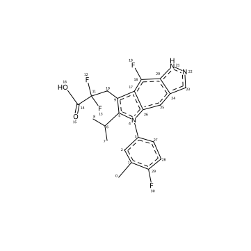 Cc1cc(-n2c(C(C)C)c(CC(F)(F)C(=O)O)c3c(F)c4[nH]ncc4cc32)ccc1F